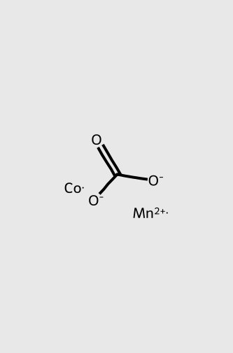 O=C([O-])[O-].[Co].[Mn+2]